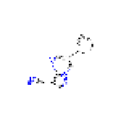 N#Cc1cnn2cc(-c3ccccc3)cnc12